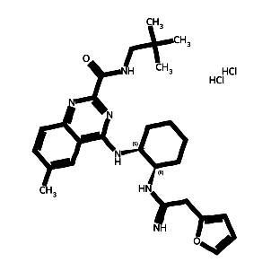 Cc1ccc2nc(C(=O)NCC(C)(C)C)nc(N[C@H]3CCCC[C@H]3NC(=N)Cc3ccco3)c2c1.Cl.Cl